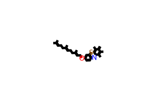 C=c1c(C)c(C)c2c(c1C)Sc1cc(OC/C=C(\C)CC/C=C(\C)CCC=C(C)C)ccc1N=2